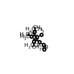 CC(C)(C)c1ccc(N2c3cc(C(C)(C)C)ccc3B3c4ccc(C(C)(C)C)cc4N(c4ccc(-c5ccc6oc7ccccc7c6c5)cc4)c4cc(-c5ccccc5)cc2c43)cc1